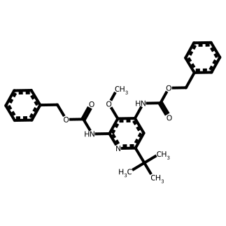 COc1c(NC(=O)OCc2ccccc2)cc(C(C)(C)C)nc1NC(=O)OCc1ccccc1